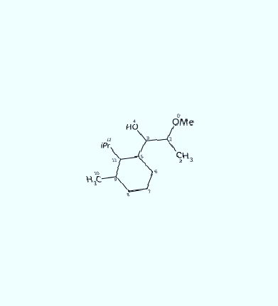 COC(C)C(O)C1CCCC(C)C1C(C)C